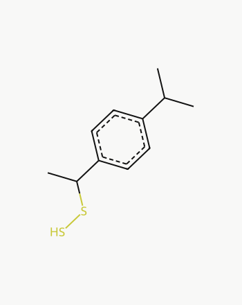 CC(C)c1ccc(C(C)SS)cc1